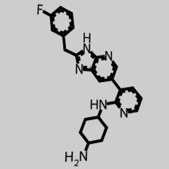 NC1CCC(Nc2ncccc2-c2cnc3[nH]c(Cc4cccc(F)c4)nc3c2)CC1